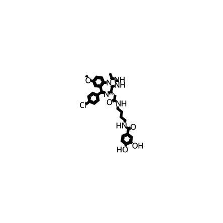 COc1ccc2c(c1)C(c1ccc(Cl)cc1)=N[C@@H](CC(=O)NCCCCNC(=O)c1ccc(O)c(O)c1)C1NNC(C)N21